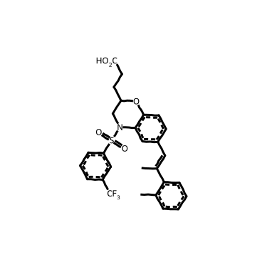 CC(=Cc1ccc2c(c1)N(S(=O)(=O)c1cccc(C(F)(F)F)c1)CC(CCC(=O)O)O2)c1ccccc1C